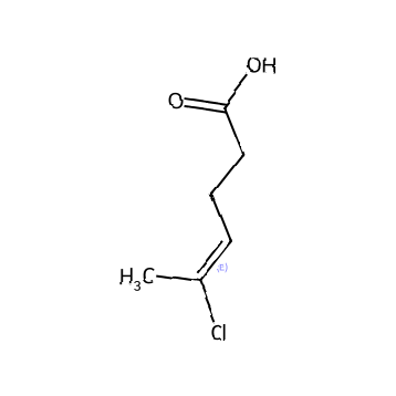 C/C(Cl)=C\CCC(=O)O